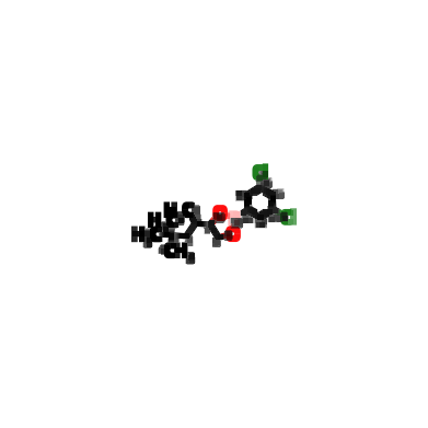 CC(CC(C)(C)C)C1COB(c2cc(Cl)cc(Cl)c2)O1